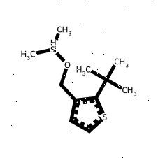 C[SiH](C)OCc1ccsc1C(C)(C)C